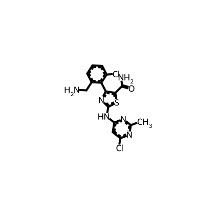 Cc1nc(Cl)cc(Nc2nc(-c3c(Cl)cccc3CN)c(C(N)=O)s2)n1